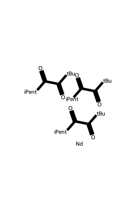 CCCC(C)C(=O)C(=O)C(C)(C)C.CCCC(C)C(=O)C(=O)C(C)(C)C.CCCC(C)C(=O)C(=O)C(C)(C)C.[Nd]